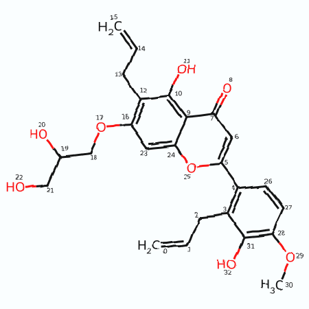 C=CCc1c(-c2cc(=O)c3c(O)c(CC=C)c(OCC(O)CO)cc3o2)ccc(OC)c1O